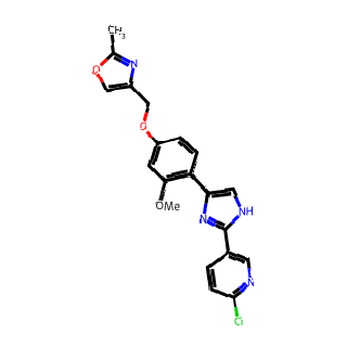 COc1cc(OCc2coc(C)n2)ccc1-c1c[nH]c(-c2ccc(Cl)nc2)n1